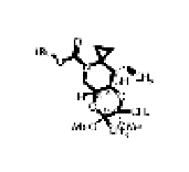 C=C[C@@H]1[C@H]2O[C@](C)(OC)[C@@](C)(OC)O[C@@H]2CN(C(=O)OC(C)(C)C)C12CC2